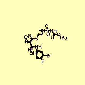 CC(C)(C)OC(=O)NS(=O)(=O)NCCSc1nonc1/C(=N/O)Nc1ccc(F)c(Br)c1